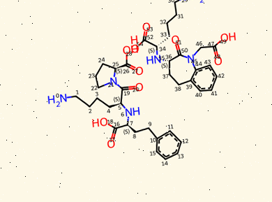 NCCCC[C@H](N[C@@H](CCc1ccccc1)C(=O)O)C(=O)N1CCC[C@H]1C(=O)O.NCCCC[C@H](N[C@H]1CCc2ccccc2N(CC(=O)O)C1=O)C(=O)O